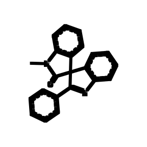 CN1C(=O)C2(C(c3ccccc3)=Nc3ccccc32)c2ccccc21